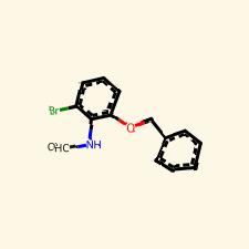 O=CNc1c(Br)[c]ccc1OCc1ccccc1